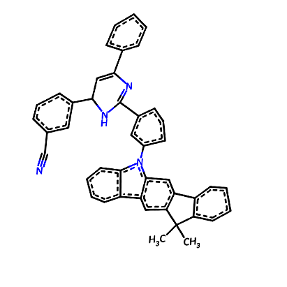 CC1(C)c2ccccc2-c2cc3c(cc21)c1ccccc1n3-c1cccc(C2=NC(c3ccccc3)=CC(c3cccc(C#N)c3)N2)c1